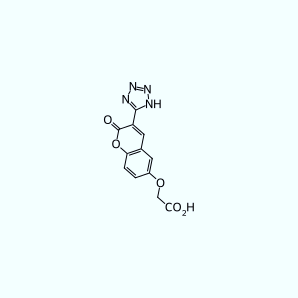 O=C(O)COc1ccc2oc(=O)c(-c3nnn[nH]3)cc2c1